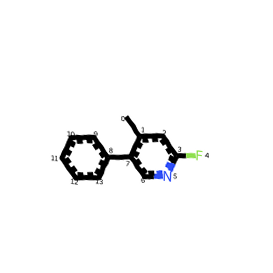 Cc1cc(F)ncc1-c1ccccc1